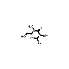 CCCN(C(=O)N(C)CCO)C(CC)CC